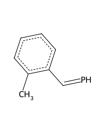 Cc1ccccc1C=P